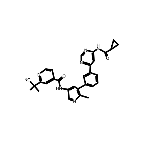 Cc1ncc(NC(=O)c2ccnc(C(C)(C)C#N)c2)cc1-c1cccc(-c2cc(NC(=O)C3CC3)ncn2)c1